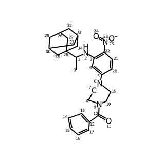 CC(Nc1cc(N2CCN(C(=O)c3ccccc3)CC2)ccc1[N+](=O)[O-])C12CC3CC(CC(C3)C1)C2